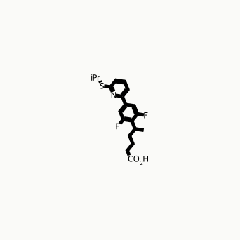 CC(C)Sc1cccc(-c2cc(F)c(C(C)CCCC(=O)O)c(F)c2)n1